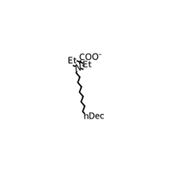 CCCCCCCCCCCCCCCCCCC[N+](C)(C)C(CC)(CC)C(=O)[O-]